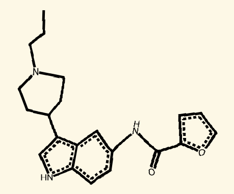 CCCN1CCC(c2c[nH]c3ccc(NC(=O)c4ccco4)cc23)CC1